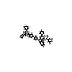 N=C1C(c2ccccc2)=Cc2c(-c3ccc(-c4ccc(-c5nc(-c6ccccc6)nc(-c6ccccc6)n5)cc4)cc3)nc3ccccc3c2/C1=N/Nc1ccccc1